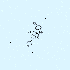 CN1CCN(c2ccc(C3(C)C(=O)Nc4ccc(Cl)cc43)c(Cl)c2)CC1